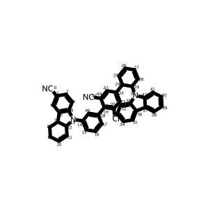 N#Cc1ccc2c(c1)C1CCC=CC1N2c1cccc(-c2c(C#N)cc(C3C=CC=CC3n3c4ccccc4c4ccccc43)cc2C#N)c1